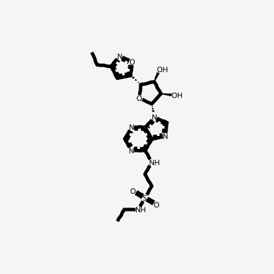 CCNS(=O)(=O)CCNc1ncnc2c1ncn2[C@@H]1O[C@H](c2cc(CC)no2)[C@@H](O)[C@H]1O